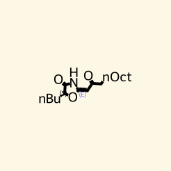 CCCCCCCCCC(=O)/C=C1\NC(=O)[C@H](CCCC)O1